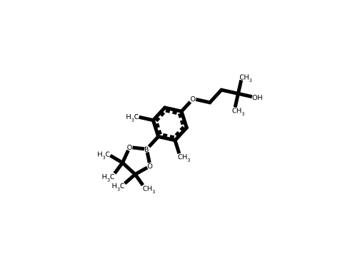 Cc1cc(OCCC(C)(C)O)cc(C)c1B1OC(C)(C)C(C)(C)O1